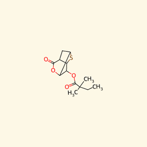 CCC(C)(C)C(=O)OC1C2OC(=O)C3CC2SC31